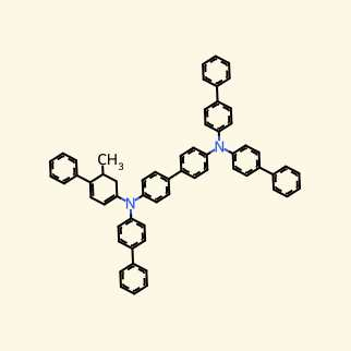 CC1CC(N(c2ccc(-c3ccccc3)cc2)c2ccc(-c3ccc(N(c4ccc(-c5ccccc5)cc4)c4ccc(-c5ccccc5)cc4)cc3)cc2)=CC=C1c1ccccc1